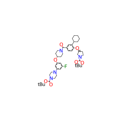 CC(C)(C)OC(=O)N1CCN(c2cc(F)cc(OC3CCN(C(=O)c4ccc(O[C@@H]5CCN(C(=O)OC(C)(C)C)C5)c(C5CCCCC5)c4)CC3)c2)CC1